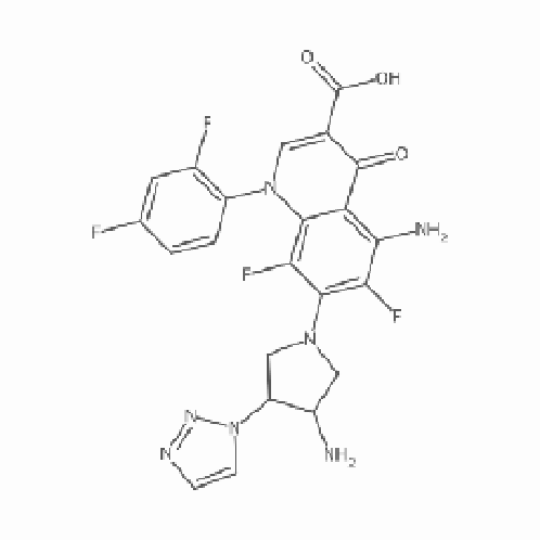 Nc1c(F)c(N2CC(N)C(n3ccnn3)C2)c(F)c2c1c(=O)c(C(=O)O)cn2-c1ccc(F)cc1F